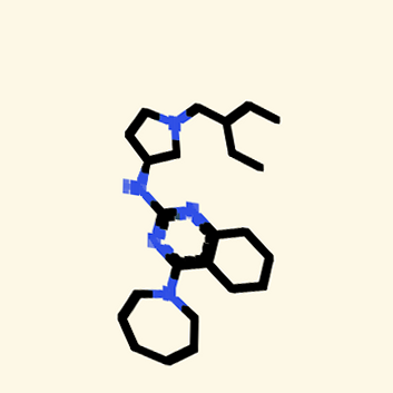 CCC(CC)CN1CC[C@H](Nc2nc3c(c(N4CCCCCC4)n2)CCCC3)C1